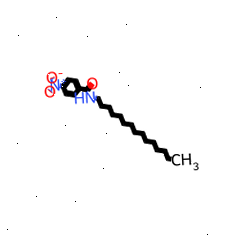 CCCCCCCCCCCCCCCNC(=O)c1ccc([N+](=O)[O-])cc1